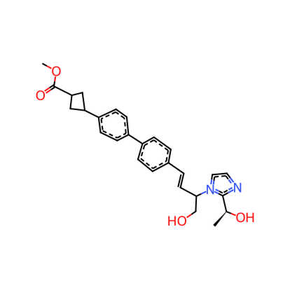 COC(=O)C1CC(c2ccc(-c3ccc(/C=C/C(CO)n4ccnc4[C@H](C)O)cc3)cc2)C1